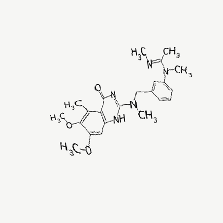 CN=C(C)N(C)c1cccc(CN(C)c2nc(=O)c3c(C)c(OC)c(OC)cc3[nH]2)c1